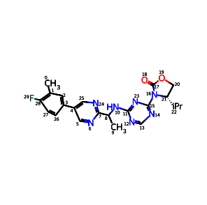 Cc1cc(-c2cnc(C(C)Nc3ncnc(N4C(=O)OC[C@@H]4C(C)C)n3)nc2)ccc1F